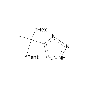 CCCCCCC(C)(CCCCC)c1c[nH]nn1